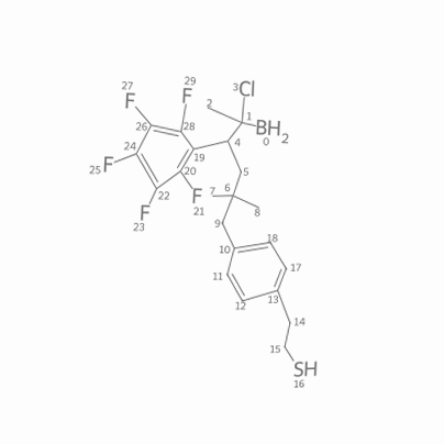 BC(C)(Cl)C(CC(C)(C)Cc1ccc(CCS)cc1)c1c(F)c(F)c(F)c(F)c1F